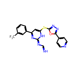 N=C/N=c1/nc(-c2cccc(C(F)(F)F)c2)cc(Sc2nnc(-c3ccncc3)o2)[nH]1